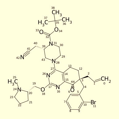 C=CC[C@]1(Cc2ccccc2Br)CCc2c(nc(OC[C@@H]3CCCN3C)nc2N2CCN(C(=O)OC(C)(C)C)[C@@H](CC#N)C2)C1=O